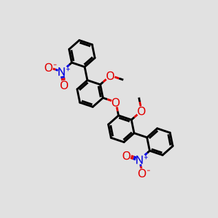 COc1c(Oc2cccc(-c3ccccc3[N+](=O)[O-])c2OC)cccc1-c1ccccc1[N+](=O)[O-]